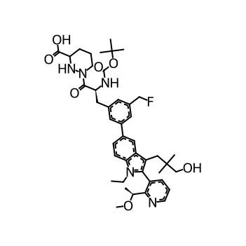 CCn1c(-c2cccnc2[C@H](C)OC)c(CC(C)(C)CO)c2cc(-c3cc(CF)cc(C[C@H](NC(=O)OC(C)(C)C)C(=O)N4CCCC(C(=O)O)N4)c3)ccc21